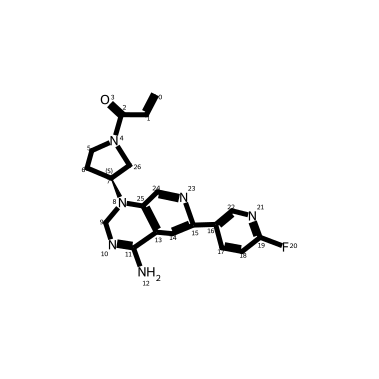 C=CC(=O)N1CC[C@H](N2CN=C(N)c3cc(-c4ccc(F)nc4)ncc32)C1